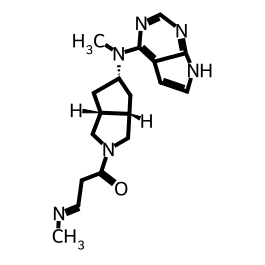 C/N=C/CC(=O)N1C[C@H]2C[C@@H](N(C)c3ncnc4[nH]ccc34)C[C@H]2C1